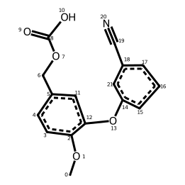 COc1ccc(COC(=O)O)cc1Oc1cccc(C#N)c1